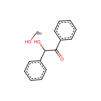 CCC(C)O.O=C(c1ccccc1)C(O)c1ccccc1